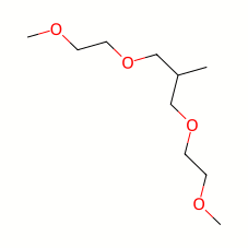 COCCOCC(C)COCCOC